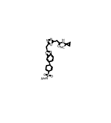 CNS(=O)(=O)C1=CCC(c2ccc3nc(Cc4nnc(CC(=O)NC5(C#N)CC5)o4)sc3c2)C=C1